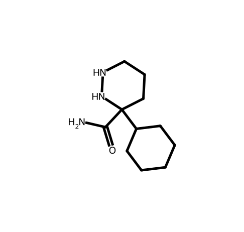 NC(=O)C1(C2CCCCC2)CCCNN1